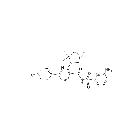 C[C@@H]1CN(c2nc(C3=CCC(C(F)(F)F)CC3)ccc2C(=O)NS(=O)(=O)c2cccc(N)n2)C(C)(C)C1